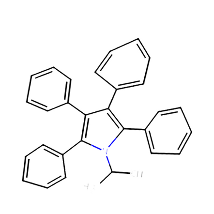 CC(C)n1c(-c2ccccc2)c(-c2ccccc2)c(-c2ccccc2)c1-c1ccccc1